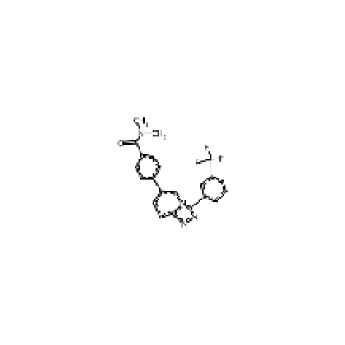 CN(C)C(=O)c1ccc(-c2ccc3nnc(-c4cccc(C(F)(F)F)c4)n3c2)cc1